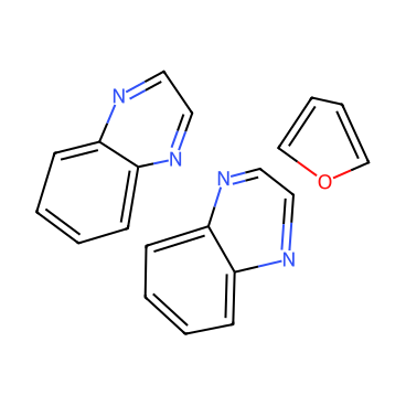 c1ccc2nccnc2c1.c1ccc2nccnc2c1.c1ccoc1